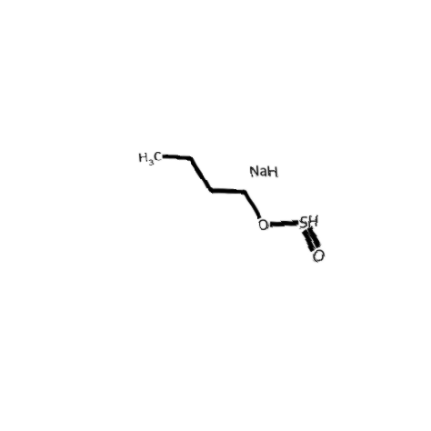 CCCCO[SH]=O.[NaH]